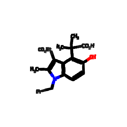 CCOC(=O)c1c(C)n(CC(C)C)c2ccc(O)c(C(C)(C)C(=O)O)c12